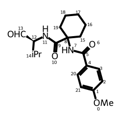 COc1ccc(C(=O)NC2(C(=O)N[C@H](C=O)C(C)C)CCCCC2)cc1